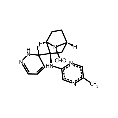 O=CN1[C@@H]2CC[C@H]1[C@@](Nc1cnc(C(F)(F)F)cn1)(C1(F)C=CC=NN1)C2